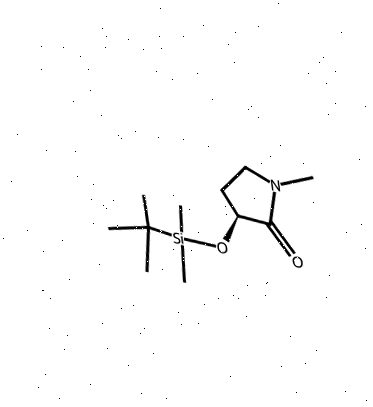 CN1CC[C@H](O[Si](C)(C)C(C)(C)C)C1=O